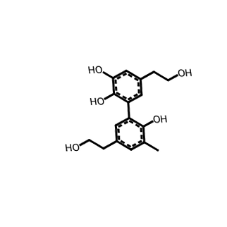 Cc1cc(CCO)cc(-c2cc(CCO)cc(O)c2O)c1O